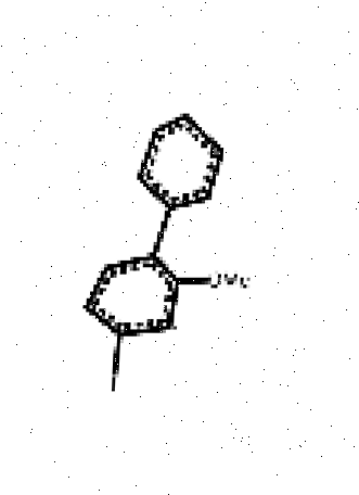 COc1[c]c(I)ccc1-c1ccccc1